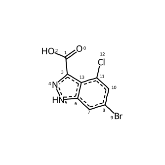 O=C(O)c1n[nH]c2cc(Br)cc(Cl)c12